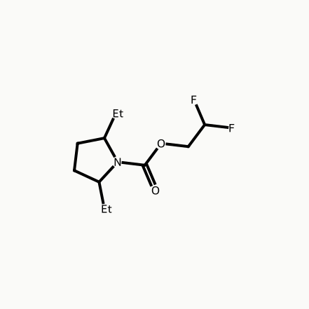 CCC1CCC(CC)N1C(=O)OCC(F)F